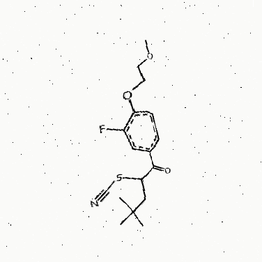 COCCOc1ccc(C(=O)C(CC(C)(C)C)SC#N)cc1F